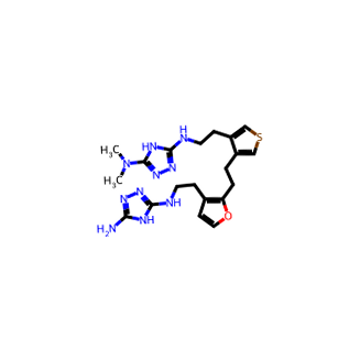 CN(C)c1nnc(NCCc2cscc2CCc2occc2CCNc2nnc(N)[nH]2)[nH]1